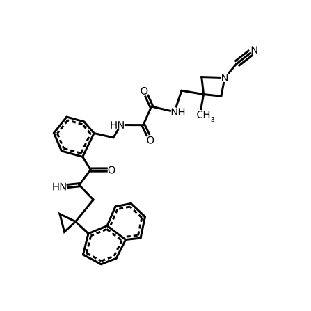 CC1(CNC(=O)C(=O)NCc2ccccc2C(=O)C(=N)CC2(c3cccc4ccccc34)CC2)CN(C#N)C1